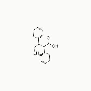 CCC(c1ccccc1)C(C(=O)O)c1ccccc1